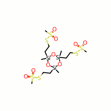 C[Si]1(CCSS(C)(=O)=O)O[Si](C)(CCSS(C)(=O)=O)O[Si](C)(CCSS(C)(=O)=O)O1